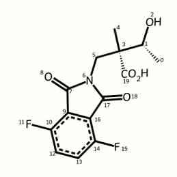 C[C@@H](O)[C@](C)(CN1C(=O)c2c(F)ccc(F)c2C1=O)C(=O)O